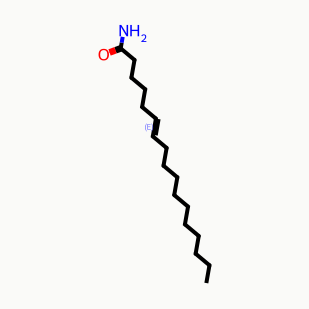 CCCCCCCCCC/C=C/CCCCC(N)=O